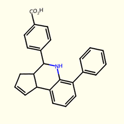 O=C(O)c1ccc(C2Nc3c(-c4ccccc4)cccc3C3C=CCC32)cc1